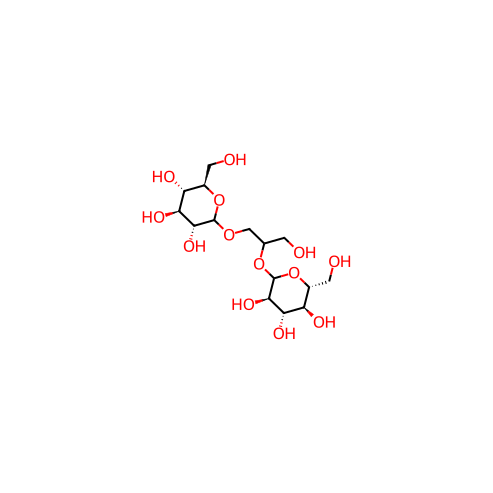 OCC(COC1O[C@H](CO)[C@@H](O)[C@H](O)[C@H]1O)OC1O[C@H](CO)[C@@H](O)[C@H](O)[C@H]1O